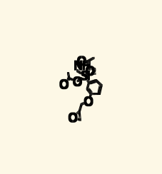 CC(=O)O[Si](CN)(OC(C)=O)c1cccc(OCC2CO2)c1